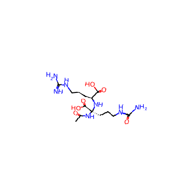 CC(=O)N[C@](CCCNC(N)=O)(N[C@@H](CCCNC(=N)N)C(=O)O)C(=O)O